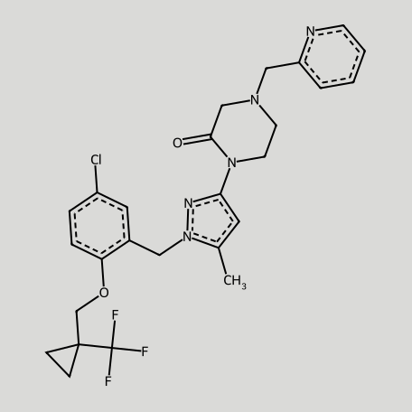 Cc1cc(N2CCN(Cc3ccccn3)CC2=O)nn1Cc1cc(Cl)ccc1OCC1(C(F)(F)F)CC1